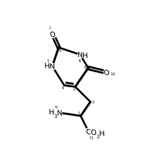 NC(Cc1c[nH]c(=O)[nH]c1=O)C(=O)O